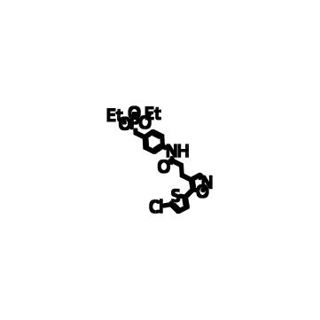 CCOP(=O)(Cc1ccc(NC(=O)CCc2cnoc2-c2ccc(Cl)s2)cc1)OCC